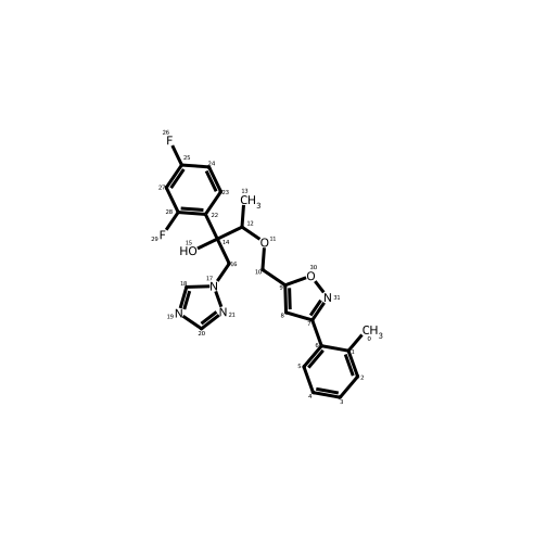 Cc1ccccc1-c1cc(COC(C)C(O)(Cn2cncn2)c2ccc(F)cc2F)on1